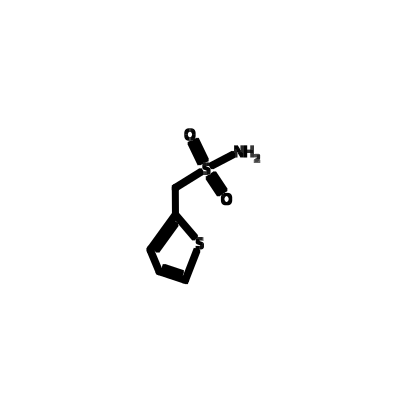 NS(=O)(=O)Cc1cccs1